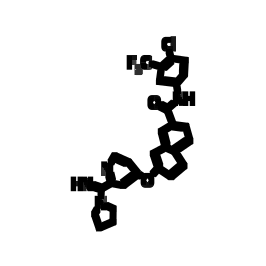 N=C(c1cc(Oc2ccc3ccc(C(=O)Nc4ccc(Cl)c(C(F)(F)F)c4)cc3c2)ccn1)N1CCCC1